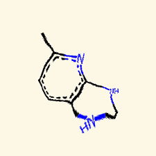 Cc1ccc2c(n1)NCN2